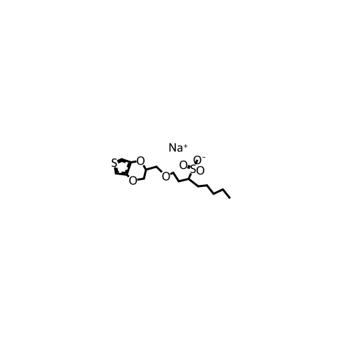 CCCCCC(CCOCC1COc2cscc2O1)S(=O)(=O)[O-].[Na+]